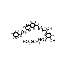 CC(=O)O.OCc1cc([C@@H](O)CNCCc2ccc3c(c2)O[C@H](COCc2ccccc2)CO3)ccc1O